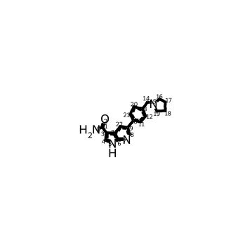 NC(=O)c1c[nH]c2ncc(-c3ccc(CN4CCCC4)cc3)cc12